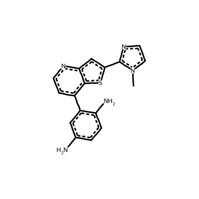 Cn1ccnc1-c1cc2nccc(-c3cc(N)ccc3N)c2s1